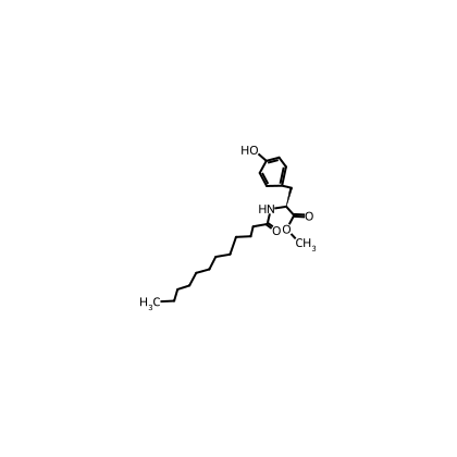 CCCCCCCCCCCC(=O)N[C@@H](Cc1ccc(O)cc1)C(=O)OC